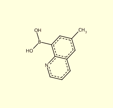 Cc1cc(B(O)O)c2ncccc2c1